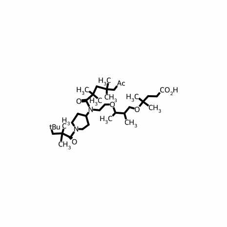 CC(=O)CC(C)(C)CC(C)(C)C(=O)N(CCOC(C)C(C)COC(C)(C)CCC(=O)O)C1CCN(C(=O)C(C)(C)CC(C)(C)C)CC1